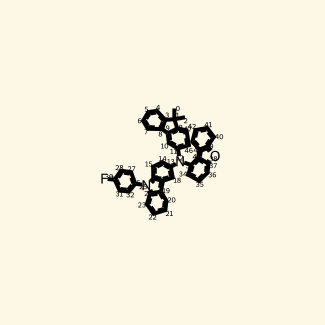 CC1(C)c2ccccc2-c2cc(N(c3ccc4c(c3)c3ccccc3n4-c3ccc(F)cc3)c3cccc4oc5ccccc5c34)ccc21